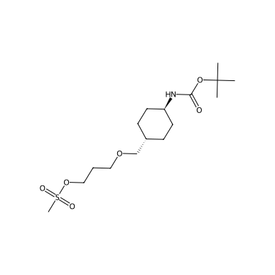 CC(C)(C)OC(=O)N[C@H]1CC[C@H](COCCCOS(C)(=O)=O)CC1